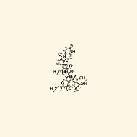 CCNC(=O)c1nnc(-c2cc(C(C)C)c(O)cc2O)n1-c1ccc(C(=O)N[C@](C=O)(CC(C)C)Nc2cccc3c2CN(C2CCC(=O)NC2=O)C3=O)cc1